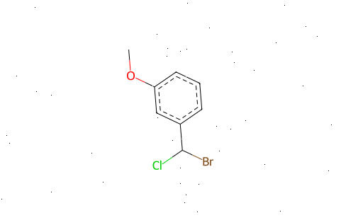 COc1cccc(C(Cl)Br)c1